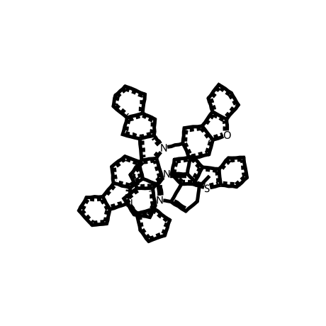 CC1C/C=C(c2cccc3c2sc2ccccc23)/N=C(c2cccc3c4ccccc4n(-c4ccccc4)c23)\N=C/1c1cc2oc3ccccc3c2cc1-n1c2cc3ccccc3cc2c2cc3ccccc3cc21